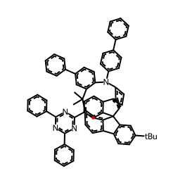 CC(C)(C)c1ccc2c(c1)C13c4cc(-c5nc(-c6ccccc6)nc(-c6ccccc6)n5)ccc4-c4ccc(cc41)N(c1ccc(-c4ccccc4)cc1)c1ccc(-c4ccccc4)cc1C(C)(C)c1ccc-2c3c1